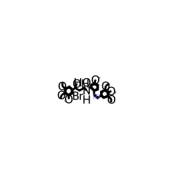 COc1ccc(/C=C\c2cc(OC)c(OC)c(OC)c2)c(NCCC(O)c2cc(OC)c(OC)c(OC)c2Br)c1O